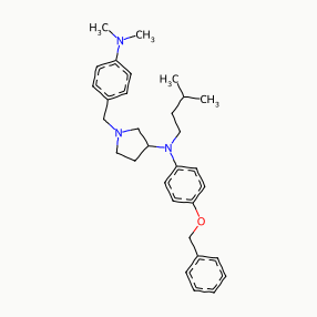 CC(C)CCN(c1ccc(OCc2ccccc2)cc1)C1CCN(Cc2ccc(N(C)C)cc2)C1